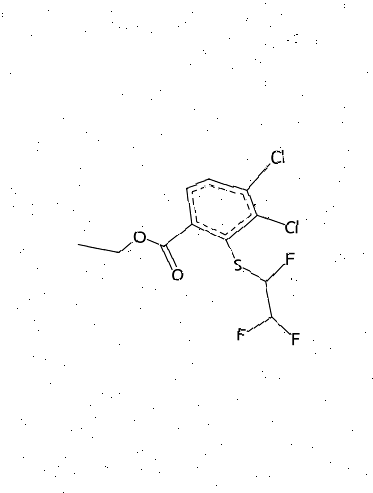 CCOC(=O)c1ccc(Cl)c(Cl)c1SC(F)C(F)F